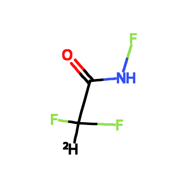 [2H]C(F)(F)C(=O)NF